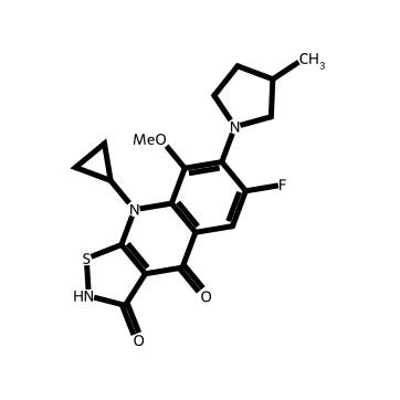 COc1c(N2CCC(C)C2)c(F)cc2c(=O)c3c(=O)[nH]sc3n(C3CC3)c12